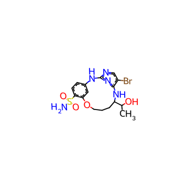 CC(O)C1CCCOc2cc(ccc2S(N)(=O)=O)Nc2ncc(Br)c(n2)N1